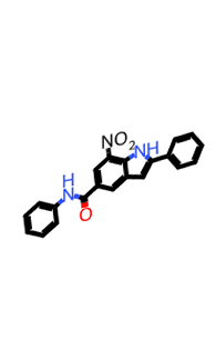 O=C(Nc1ccccc1)c1cc([N+](=O)[O-])c2[nH]c(-c3ccccc3)cc2c1